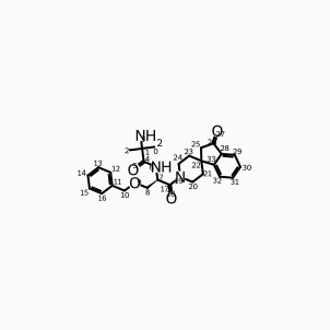 CC(C)(N)C(=O)N[C@H](COCc1ccccc1)C(=O)N1CCC2(CC1)CC(=O)c1ccccc12